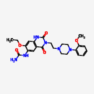 CCOc1cc2[nH]c(=O)n(CCN3CCN(c4ccccc4OC)CC3)c(=O)c2cc1NC(N)=O